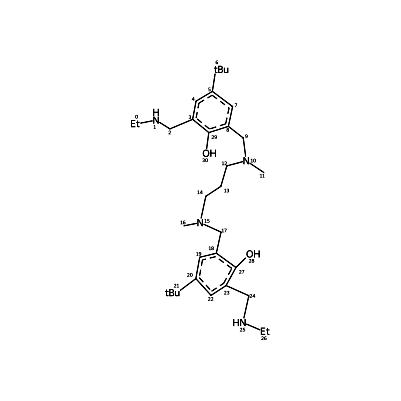 CCNCc1cc(C(C)(C)C)cc(CN(C)CCCN(C)Cc2cc(C(C)(C)C)cc(CNCC)c2O)c1O